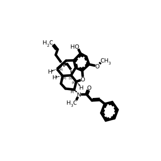 C=CCN1CC[C@]23c4c5c(O)cc(OC)c4O[C@H]2[C@H](N(C)C(=O)C=Cc2ccccc2)CC[C@H]3[C@H]1C5